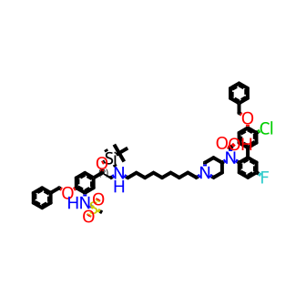 CC(C)(C)[Si](C)(C)O[C@@H](CNCCCCCCCCCN1CCC(N(C(=O)O)c2ccc(F)cc2-c2ccc(OCc3ccccc3)c(Cl)c2)CC1)c1ccc(OCc2ccccc2)c(NS(C)(=O)=O)c1